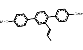 C/C=C/c1cc(-c2ccc(OC)cc2)ccc1-c1ccc(OC)cc1